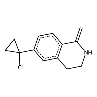 C=C1NCCc2cc(C3(Cl)CC3)ccc21